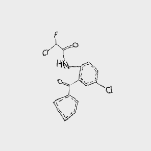 O=C(c1ccccc1)c1cc(Cl)ccc1NC(=O)C(F)Cl